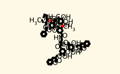 CCC[C@H](OC1C(OC(=O)c2ccccc2)[C@H](O[C@@H]2CC(C(=O)NCCNC(=O)C3CC(OCc4cc5ccccc5oc4=O)C(O)[C@H](O[C@@H]4OC(CO)[C@H](O)C(OCc5cc6ccccc6oc5=O)C4O)C3)CC(CC)C2O[C@@H]2OC(C)[C@@H](O)C(O)C2O)OC(CO)[C@@H]1O)C(=O)N1CCC1